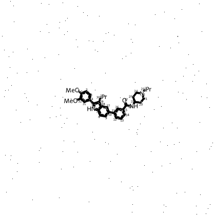 COc1ccc(-c2[nH]c3ccc(-c4cccc(C(=O)NC5CCN(C(C)C)CC5)c4)cc3c2C(C)C)cc1OC